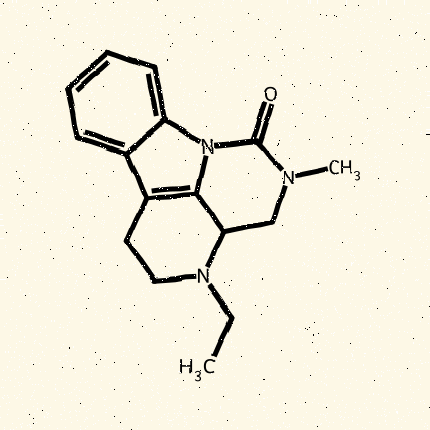 CCN1CCc2c3n(c4ccccc24)C(=O)N(C)CC31